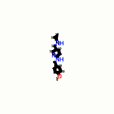 COc1ccc(CNc2ccc(CNC3CC3)cn2)cc1